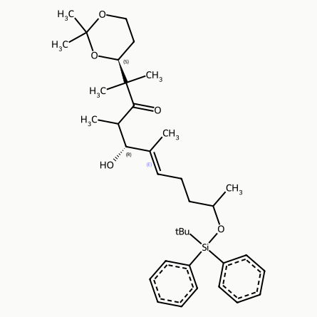 C/C(=C\CCC(C)O[Si](c1ccccc1)(c1ccccc1)C(C)(C)C)[C@H](O)C(C)C(=O)C(C)(C)[C@@H]1CCOC(C)(C)O1